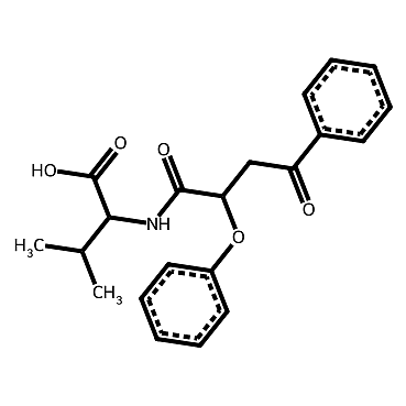 CC(C)C(NC(=O)C(CC(=O)c1ccccc1)Oc1ccccc1)C(=O)O